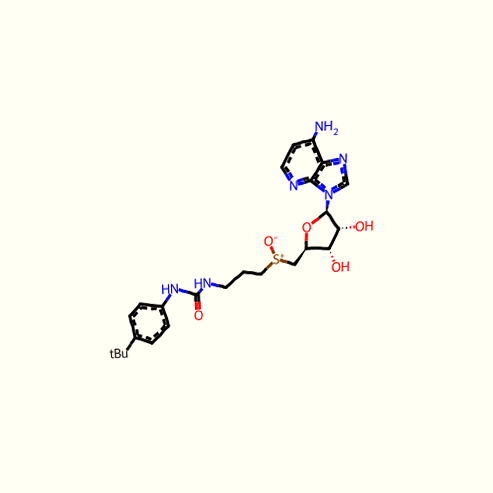 CC(C)(C)c1ccc(NC(=O)NCCC[S+]([O-])C[C@H]2O[C@@H](n3cnc4c(N)ccnc43)[C@H](O)[C@@H]2O)cc1